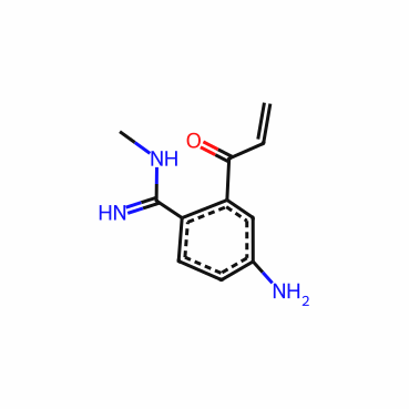 C=CC(=O)c1cc(N)ccc1C(=N)NC